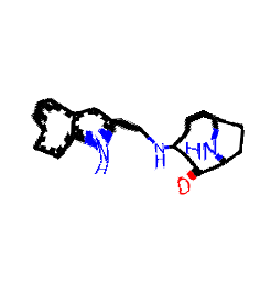 O=C1C(NCc2cc3ccccc3[nH]2)CC2CCC1N2